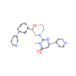 Cn1c(N2CCOC(c3cccc(-c4cccnc4)c3)C2)nc(-c2ccncc2)cc1=O